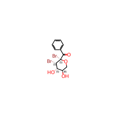 O=C(c1ccccc1)[C@@]1(Br)OC[C@@H](O)[C@H](O)[C@@H]1Br